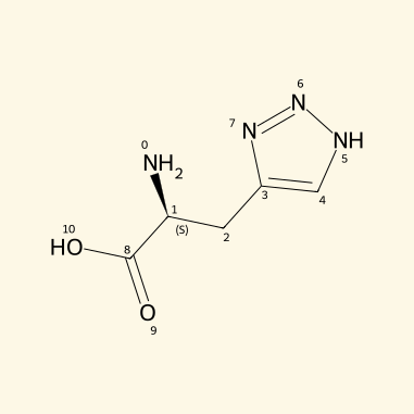 N[C@@H](Cc1c[nH]nn1)C(=O)O